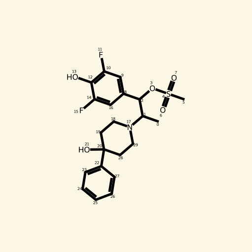 CC(C(OS(C)(=O)=O)c1cc(F)c(O)c(F)c1)N1CCC(O)(c2ccccc2)CC1